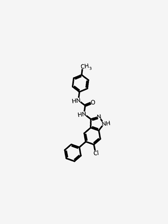 Cc1ccc(NC(=O)Nc2n[nH]c3cc(Cl)c(-c4ccccc4)cc23)cc1